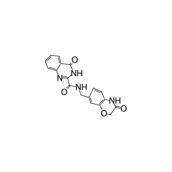 O=C1COc2cc(CNC(=O)c3nc4ccccc4c(=O)[nH]3)ccc2N1